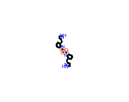 O=S(=O)(c1nc2c(Cc3cc[nH]n3)cccc2s1)c1nc2c(Cc3cc[nH]n3)cccc2s1